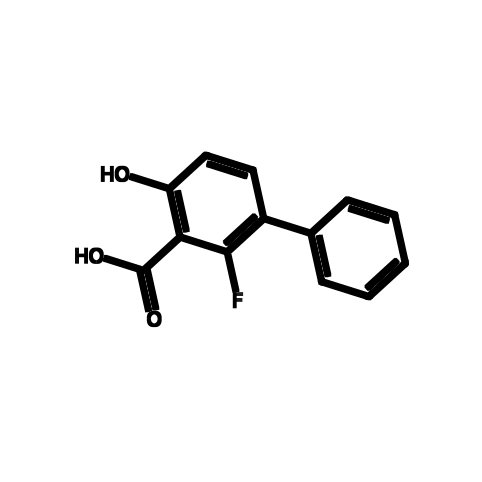 O=C(O)c1c(O)ccc(-c2ccccc2)c1F